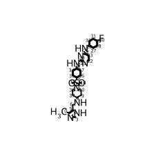 Cc1nc[nH]c1CNC1CCN(S(=O)(=O)c2ccc(Nc3nccc(Nc4ccc(F)cc4)n3)cc2)CC1